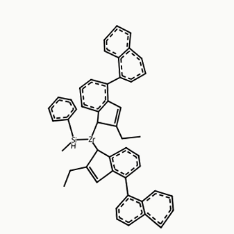 CCC1=Cc2c(-c3cccc4ccccc34)cccc2[CH]1[Zr]([CH]1C(CC)=Cc2c(-c3cccc4ccccc34)cccc21)[SiH](C)c1ccccc1